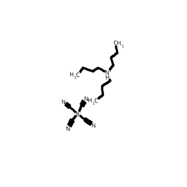 CCCC[NH+](CCCC)CCCC.N#C[B-](C#N)(C#N)C#N